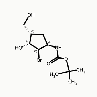 CC(C)(C)OC(=O)N[C@@H]1C[C@@H](CO)[C@@H](O)[C@@H]1Br